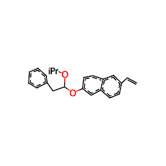 C=Cc1ccc2cc(OC(Cc3ccccc3)OC(C)C)ccc2c1